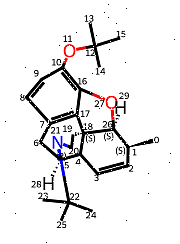 C[C@H]1C=CC2[C@H]3Cc4ccc(OC(C)(C)C)c5c4[C@@]2(CCN3C(C)(C)C)[C@H]1O5